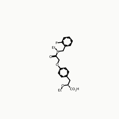 CCO[C@@H](Cc1ccc(OCC(=O)N(CC)Cc2ccccc2F)cc1)C(=O)O